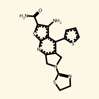 NC(=O)c1sc2nc3c(c(-c4cccs4)c2c1N)CN(C1=NCCS1)C3